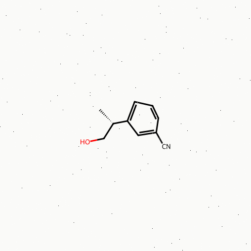 C[C@@H](CO)c1cccc(C#N)c1